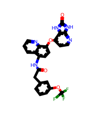 O=C(Cc1cccc(OC(F)(F)F)c1)Nc1ccc(Oc2ccnc3[nH]c(=O)[nH]c23)c2ncccc12